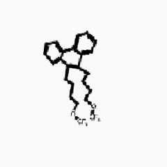 FC(F)(F)OCCCCc1c(CCCCOC(F)(F)F)c2ccccc2c2ccccc12